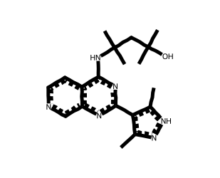 Cc1n[nH]c(C)c1-c1nc(NC(C)(C)CC(C)(C)O)c2ccncc2n1